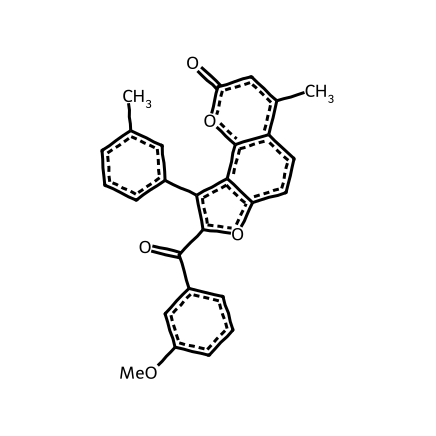 COc1cccc(C(=O)c2oc3ccc4c(C)cc(=O)oc4c3c2-c2cccc(C)c2)c1